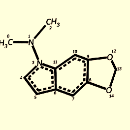 CN(C)n1ccc2cc3c(cc21)OCO3